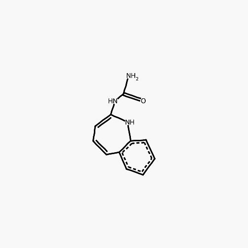 NC(=O)NC1=CC=Cc2ccccc2N1